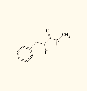 CNC(=O)C(F)Cc1ccccc1